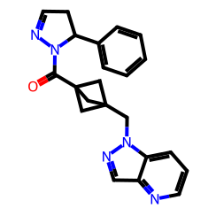 O=C(N1N=CCC1c1ccccc1)C12CC(Cn3ncc4ncccc43)(C1)C2